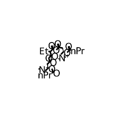 CCCC(=O)O[C@H](CC(=O)OC(=O)C(CC)C(=O)OC(=O)C[C@H](C[N+](C)(C)C)OC(=O)CCC)C[N+](C)(C)C